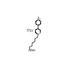 CCCCCCCCCCCCCCCC[n+]1ccc(-c2cc[n+](C)cc2)cc1.[Cl-].[Cl-]